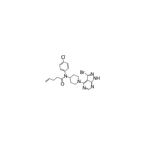 C=CCCC(=O)N(c1ccc(Cl)cc1)C1CCN(c2ncnc3[nH]nc(Br)c23)CC1